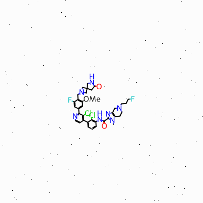 COc1cc(-c2nccc(-c3cccc(NC(=O)c4nc5c(n4C)CCN(CCCF)C5)c3Cl)c2Cl)cc(F)c1CN1CC2(CNC(=O)C2)C1